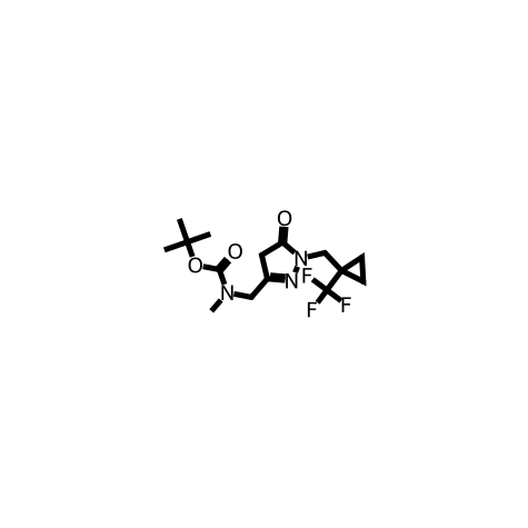 CN(CC1=NN(CC2(C(F)(F)F)CC2)C(=O)C1)C(=O)OC(C)(C)C